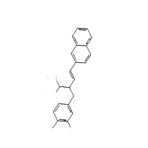 CC(N)C(/C=C/c1ccc2ccccc2c1)Cc1ccc(Cl)c(Cl)c1